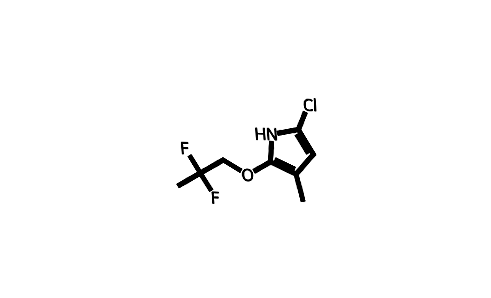 Cc1cc(Cl)[nH]c1OCC(C)(F)F